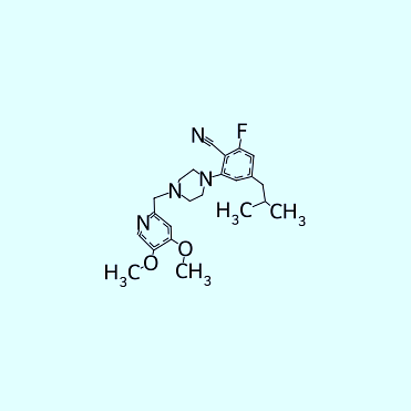 COc1cnc(CN2CCN(c3cc(CC(C)C)cc(F)c3C#N)CC2)cc1OC